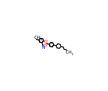 CCCCC1CCC(c2ccc(C(=O)Oc3ccc(CC)cc3C#N)cc2)CC1